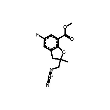 COC(=O)c1cc(F)cc2c1OC(C)(CN=[N+]=[N-])C2